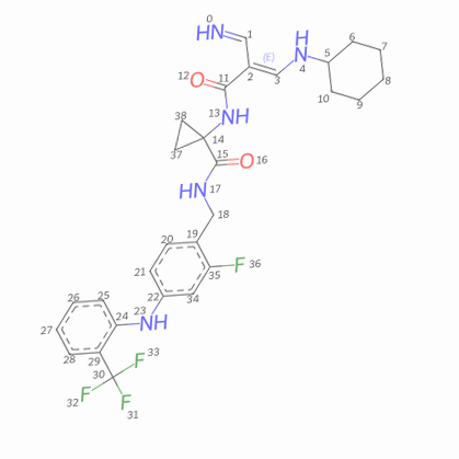 N=C/C(=C\NC1CCCCC1)C(=O)NC1(C(=O)NCc2ccc(Nc3ccccc3C(F)(F)F)cc2F)CC1